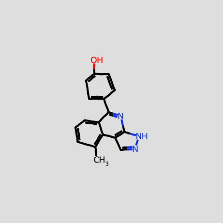 Cc1cccc2c(-c3ccc(O)cc3)nc3[nH]ncc3c12